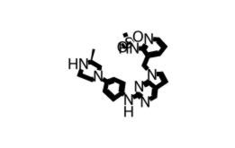 C[C@H]1CN(c2ccc(Nc3ncc4ccn(Cc5cccnc5NS(C)(=O)=O)c4n3)cc2)CCN1